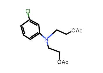 CC(=O)OCCN(CCOC(C)=O)c1cccc(Cl)c1